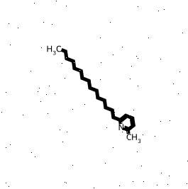 CCCCCCCCCCCCCCCc1cccc(C)n1